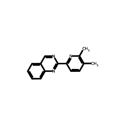 Cc1ccc(-c2ncc3ccccc3n2)nc1C